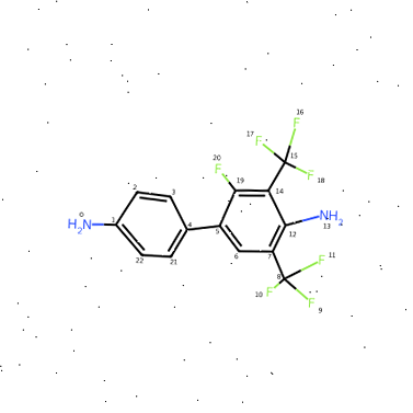 Nc1ccc(-c2cc(C(F)(F)F)c(N)c(C(F)(F)F)c2F)cc1